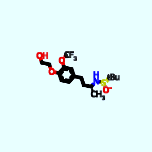 C[C@H](CCc1ccc(OCCO)c(OC(F)(F)F)c1)N[S@+]([O-])C(C)(C)C